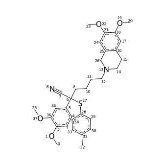 COc1ccc(C(C#N)(CCCCN2CCc3cc(OC)c(OC)cc3C2)Sc2ccc(C)cc2)cc1OC